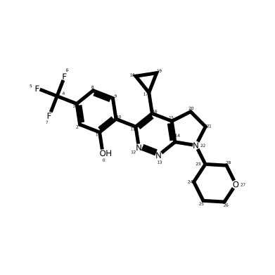 Oc1cc(C(F)(F)F)ccc1-c1nnc2c(c1C1CC1)CCN2C1CCCOC1